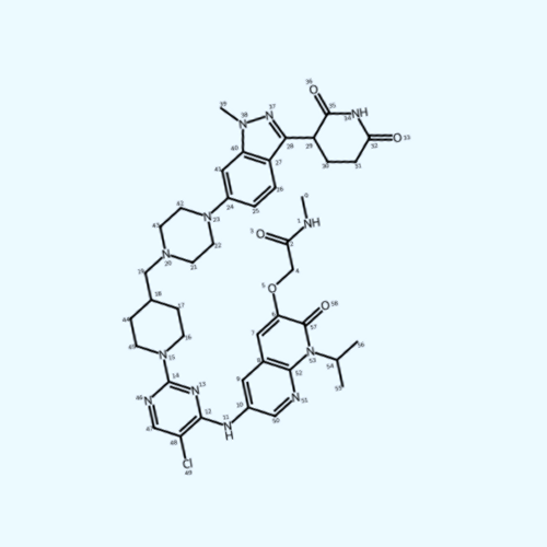 CNC(=O)COc1cc2cc(Nc3nc(N4CCC(CN5CCN(c6ccc7c(C8CCC(=O)NC8=O)nn(C)c7c6)CC5)CC4)ncc3Cl)cnc2n(C(C)C)c1=O